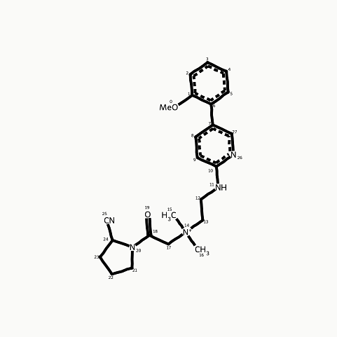 COc1ccccc1-c1ccc(NCC[N+](C)(C)CC(=O)N2CCCC2C#N)nc1